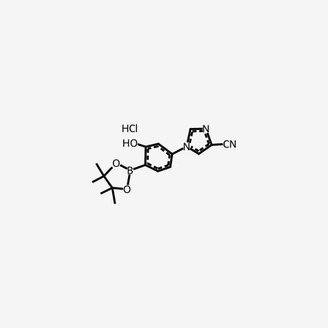 CC1(C)OB(c2ccc(-n3cnc(C#N)c3)cc2O)OC1(C)C.Cl